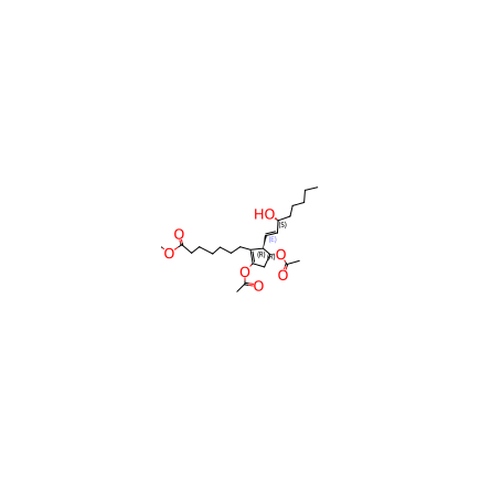 CCCCC[C@H](O)/C=C/[C@@H]1C(CCCCCCC(=O)OC)=C(OC(C)=O)C[C@H]1OC(C)=O